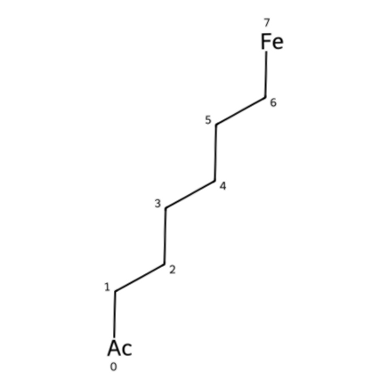 CC(=O)CCCCC[CH2][Fe]